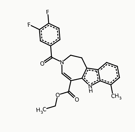 CCOC(=O)C1=CN(C(=O)c2ccc(F)c(F)c2)CCc2c1[nH]c1c(C)cccc21